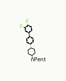 CCCCC[C@H]1CC[C@H](c2ccc(-c3ccc(F)c(F)c3)cc2)CC1